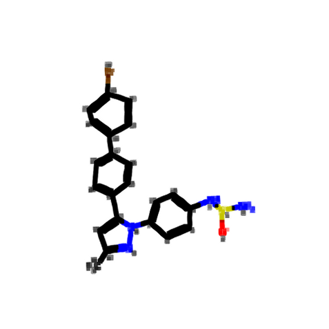 N[S+]([O-])Nc1ccc(-n2nc(C(F)(F)F)cc2-c2ccc(-c3ccc(Br)cc3)cc2)cc1